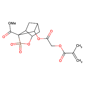 C=C(C)C(=O)OCC(=O)OC1C2CC3OS(=O)(=O)C1(C(=O)OC)C3C2